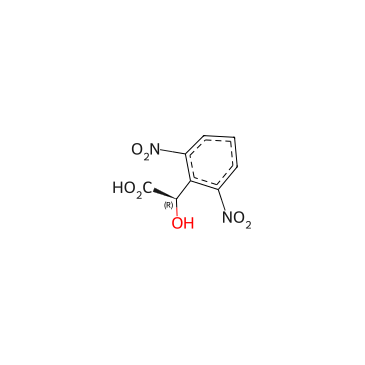 O=C(O)[C@H](O)c1c([N+](=O)[O-])cccc1[N+](=O)[O-]